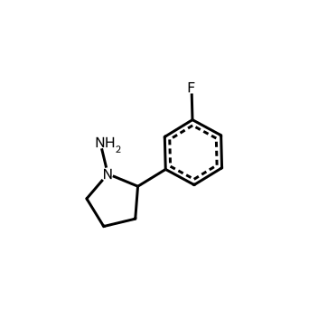 NN1CCCC1c1cccc(F)c1